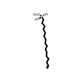 C=CCCCCCCCCCCCCCC[Si](CCC)(CCC)OC